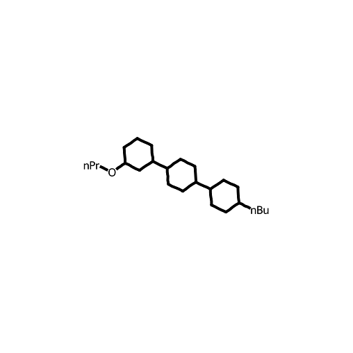 CCCCC1CCC(C2CCC(C3CCCC(OCCC)C3)CC2)CC1